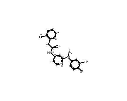 CC(=O)N(c1ccc(F)c(Cl)c1)c1cc(NC(=O)Cc2ccccc2Cl)ccn1